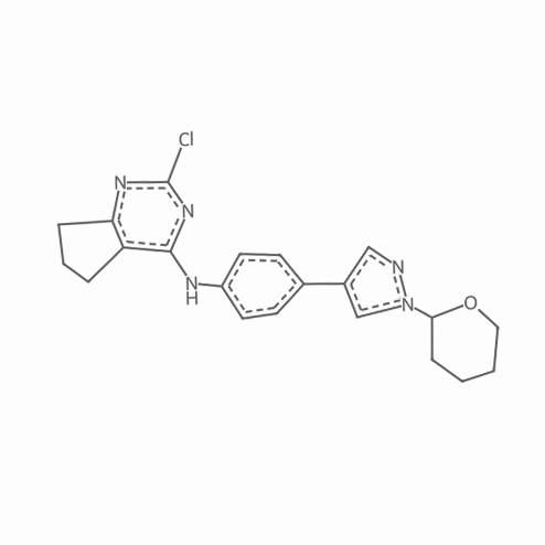 Clc1nc2c(c(Nc3ccc(-c4cnn(C5CCCCO5)c4)cc3)n1)CCC2